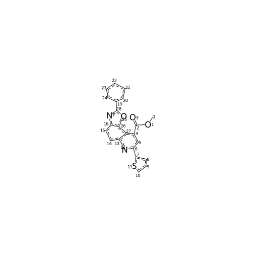 COC(=O)c1cc(-c2cccs2)nc2ccc3nc(-c4ccccc4)oc3c12